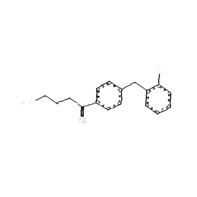 Cc1ccccc1Cc1ccc(C(=N)[CH]CCC(F)(F)F)cc1